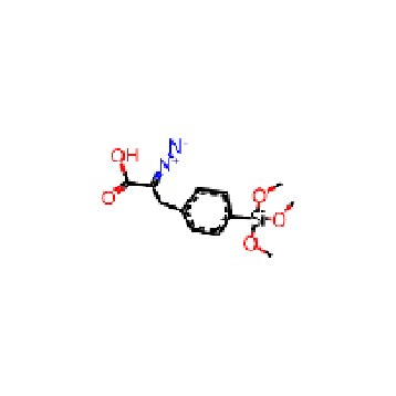 CO[Si](OC)(OC)c1ccc(CC(=[N+]=[N-])C(=O)O)cc1